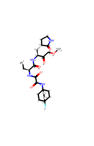 CC(C)C[C@H](NC(=O)C(=O)NC12CCC(F)(CC1)CC2)C(=O)N[C@@H](C[C@@H]1CCNC1=O)C(=O)COC(F)(F)F